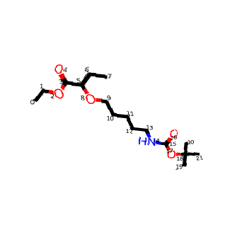 CCOC(=O)C(CC)OCCCCCNC(=O)OC(C)(C)C